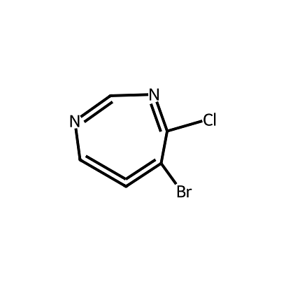 ClC1=NC=NC=C=C1Br